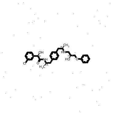 C[C@H](Cc1ccc(C[C@@H](C)NC(=O)[C@H](O)c2cccc(Cl)c2)cc1)NC[C@H](O)COc1ccccc1